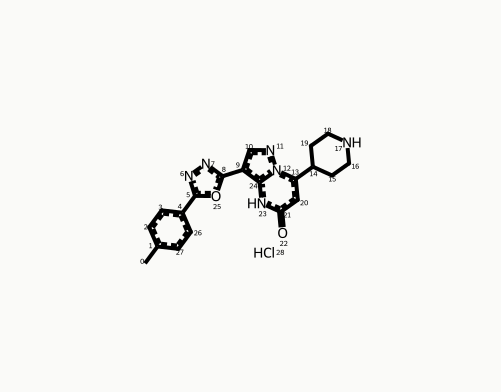 Cc1ccc(-c2nnc(-c3cnn4c(C5CCNCC5)cc(=O)[nH]c34)o2)cc1.Cl